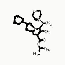 Cc1c(C(=O)OC(C)C)cc2cc(-c3ccccc3)cn2c1C(C)N1CCOCC1